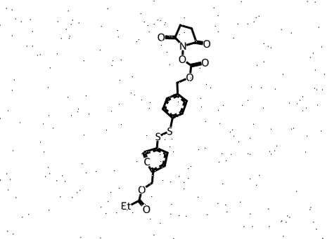 CCC(=O)OCc1ccc(SSc2ccc(COC(=O)ON3C(=O)CCC3=O)cc2)cc1